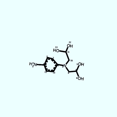 Nc1ccc(N(CC(O)O)CC(O)O)cc1